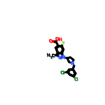 Cc1nn(C2CCN(Cc3cc(Cl)cc(Cl)c3)C2)c2cc(F)c(C(=O)O)cc12